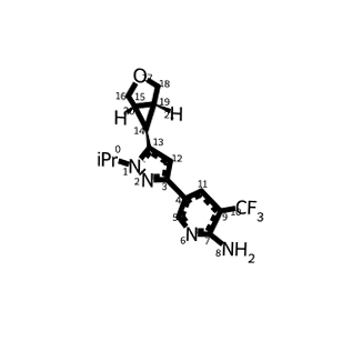 CC(C)n1nc(-c2cnc(N)c(C(F)(F)F)c2)cc1[C@H]1[C@@H]2COC[C@@H]21